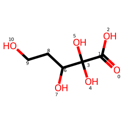 O=C(O)C(O)(O)C(O)CCO